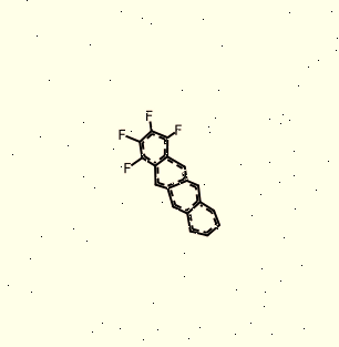 Fc1c(F)c(F)c2cc3cc4ccccc4cc3cc2c1F